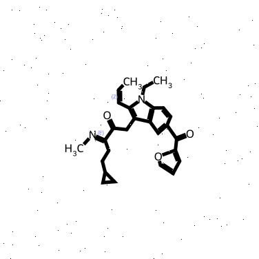 C/C=C\c1c(CC(=O)/C(CCC2CC2)=N/C)c2cc(C(=O)c3ccco3)ccc2n1CC